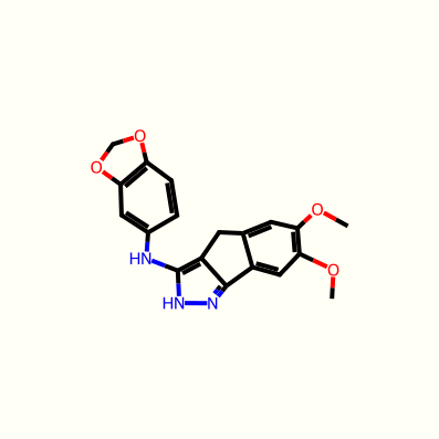 COc1cc2c(cc1OC)-c1n[nH]c(Nc3ccc4c(c3)OCO4)c1C2